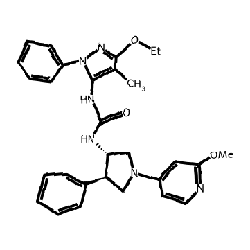 CCOc1nn(-c2ccccc2)c(NC(=O)N[C@@H]2CN(c3ccnc(OC)c3)C[C@H]2c2ccccc2)c1C